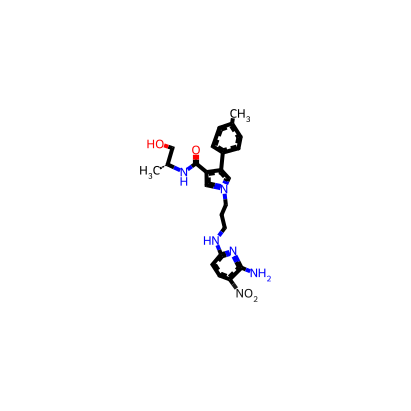 Cc1ccc(-c2cn(CCCNc3ccc([N+](=O)[O-])c(N)n3)cc2C(=O)N[C@H](C)CO)cc1